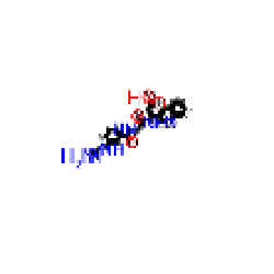 NN=CNc1cccc(C(=O)NCC(=O)NC(CC(=O)O)c2cnc3ccccc3c2)c1